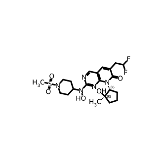 C[C@@]1(O)CCC[C@H]1n1c(=O)c(CC(F)F)cc2cnc(N(O)C3CCN(S(C)(=O)=O)CC3)nc21